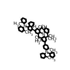 Cc1ccccc1N(c1ccc(-c2cc3c4c(c2)C(C)(C)c2cc(-c5ccc(N(c6ccccc6C)c6ccccc6C)c6ccccc56)cc5c2N4c2c(cccc2C5(C)C)C3(C)C)cc1)c1ccccc1C